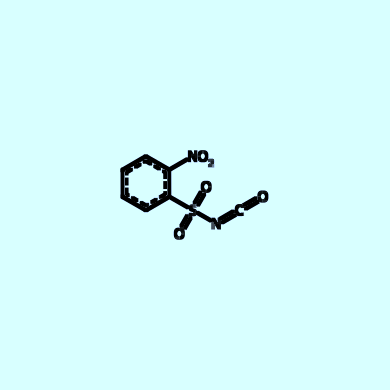 O=C=NS(=O)(=O)c1ccccc1[N+](=O)[O-]